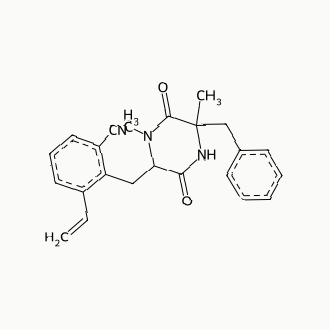 C=Cc1cccc(C#N)c1CC1C(=O)NC(C)(Cc2ccccc2)C(=O)N1C